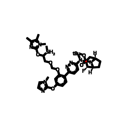 C[SiH2]C(COCOc1cc(Oc2nccn2C)ccc1-c1ccc(N(C)[C@@H]2C[C@H]3CC[C@@H]([C@@H]2F)N3C(=O)OC(C)(C)C)nn1)Oc1nc(C)c(C)n1C